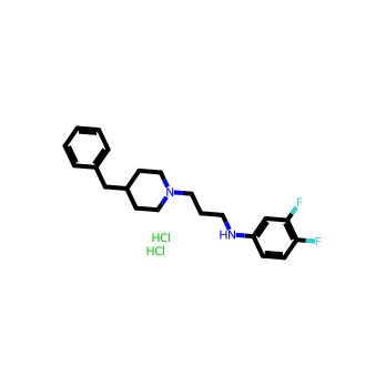 Cl.Cl.Fc1ccc(NCCCN2CCC(Cc3ccccc3)CC2)cc1F